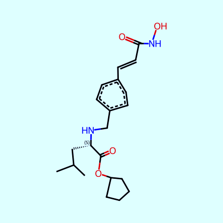 CC(C)C[C@H](NCc1ccc(C=CC(=O)NO)cc1)C(=O)OC1CCCC1